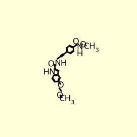 COCCOc1ccc2[nH]c(C(=O)NCC#Cc3ccc(C(=O)NOC)cc3)cc2c1